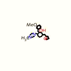 COc1cccc(CC2(O)CC(=Cc3ccco3)CCCC2CN2CCN(C)CC2)c1